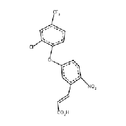 O=C(O)/C=C/c1cc(Oc2ccc(C(F)(F)F)cc2Cl)ccc1[N+](=O)[O-]